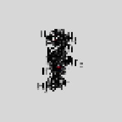 CC(C)[C@H](NC(=O)[C@H](Cc1ccccc1)NC(=O)CSC[C@H](NC(=O)[C@@H]1CCCN1C(=O)[C@H](CCCNC(=N)N)NC(=O)[C@H](CC(=O)O)NC(=O)[C@@H]1c2cc(ccc2-c2ccccc2)C[C@H](NC(=O)[C@@H]2c3cc(ccc3-c3ccccc3)C[C@H](NC(=O)[C@@H](NC(=O)C[C@@H](C)O)[C@@H](C)O)C(=O)N2C)C(=O)N1C)C(=O)NCC(N)=O)C(=O)N1CCC[C@H]1C(N)=O